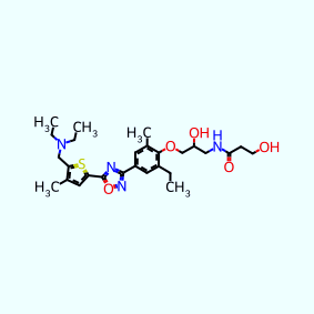 CCc1cc(-c2noc(-c3cc(C)c(CN(CC)CC)s3)n2)cc(C)c1OCC(O)CNC(=O)CCO